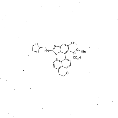 Cc1cc2nc(NCC3OCCO3)sc2c(-c2ccc3c4c(ccnc24)CCO3)c1[C@H](OC(C)(C)C)C(=O)O